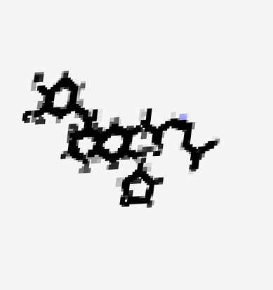 CN(C)C/C=C\C(=O)Nc1cc2c(Nc3ccc(F)c(Cl)c3)ncnc2cc1O[C@H]1CCOC1